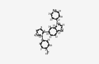 Fc1ccc(-n2nccc2-c2ccc3ncn(-c4ccncc4)c3c2)cc1